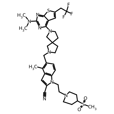 Cc1c(CN2CCC3(CCN(c4nc(N(C)C)nc5sc(CC(F)(F)F)cc45)C3)C2)ccc2c1cc(C#N)n2CCN1CCC(S(C)(=O)=O)CC1